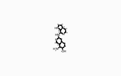 Nc1c(O)ccc2cc(Nc3nccc4cc[nH]c34)ncc12